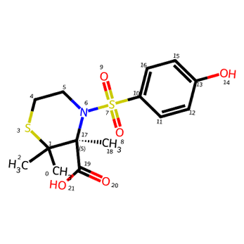 CC1(C)SCCN(S(=O)(=O)c2ccc(O)cc2)[C@@]1(C)C(=O)O